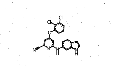 N#Cc1cc(Oc2cccc(Cl)c2Cl)cc(Nc2ccc3cc[nH]c3c2)n1